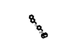 c1ccc2cc(COc3ccc(CNC45CC6CC(CC(C6)C4)C5)cc3)ccc2c1